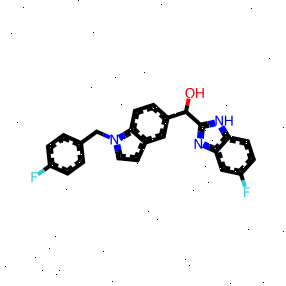 OC(c1ccc2c(ccn2Cc2ccc(F)cc2)c1)c1nc2cc(F)ccc2[nH]1